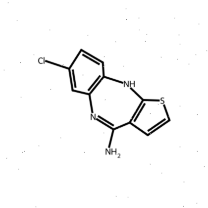 NC1=Nc2cc(Cl)ccc2Nc2sccc21